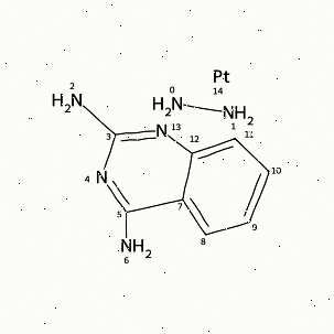 NN.Nc1nc(N)c2ccccc2n1.[Pt]